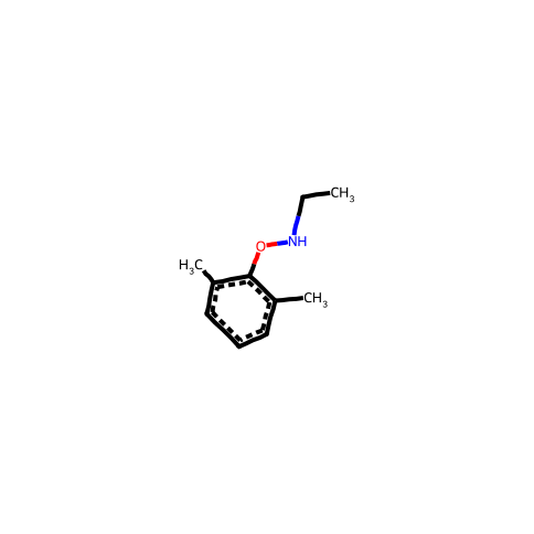 CCNOc1c(C)cccc1C